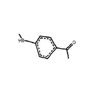 CBc1ccc(C(C)=O)cc1